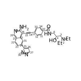 CCN(CC)CC(O)CNC(=O)c1ccc(C#Cc2c(N)ncc3ccc(-c4ccnn4C)cc23)cc1